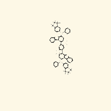 CC1(C)c2ccc(N(c3ccccc3)c3cc4c(c5c3oc3ccccc35)-c3cc5c(cc3[Si]4(C)C)-c3c(cc(N(c4ccccc4)c4ccc6c(c4)C(C)(C)C(C)(C)C6(C)C)c4c3oc3ccccc34)[Si]5(C)C)cc2C(C)(C)C1(C)C